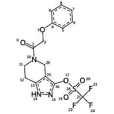 O=C(COc1ccccc1)N1CCc2[nH]nc(OS(=O)(=O)C(F)(F)F)c2C1